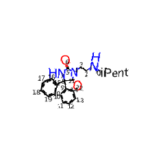 CCCC(C)NCCN1C(=O)NC(c2ccccc2)(c2ccccc2)C1=O